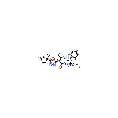 Cc1[nH]c2c(-c3ccccc3)c(C(F)(F)F)nn2c(=O)c1-c1nnc(C2(C)CCCC2)o1